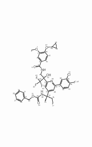 COc1cc(C(=O)NCC(O)(c2cc(C(C)(CF)NC(=O)OCc3ccccc3)cc(-c3ccc(F)c(Cl)c3)n2)C(F)(F)F)ccc1OC1CC1